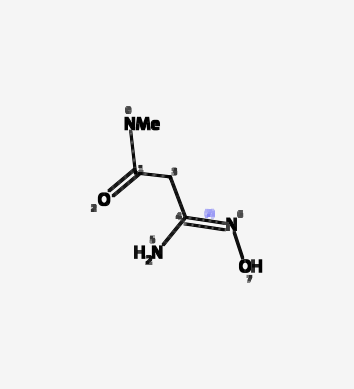 CNC(=O)C/C(N)=N/O